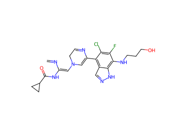 C=N/C(=C\N1C=C(c2c(Cl)c(F)c(NCCCO)c3[nH]ncc23)N=CC1)NC(=O)C1CC1